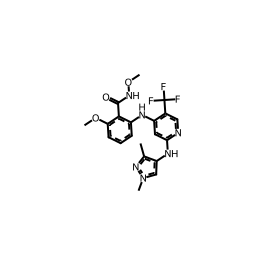 CONC(=O)c1c(Nc2cc(Nc3cn(C)nc3C)ncc2C(F)(F)F)cccc1OC